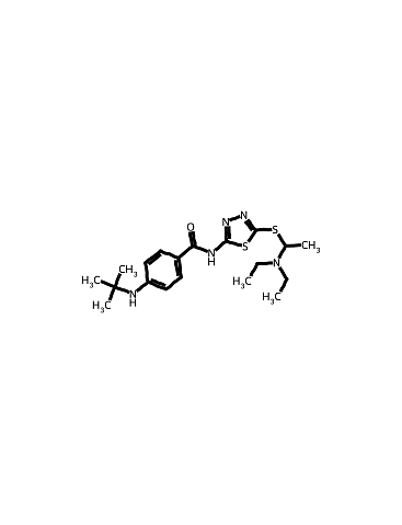 CCN(CC)C(C)Sc1nnc(NC(=O)c2ccc(NC(C)(C)C)cc2)s1